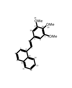 COc1cc(C=Cc2cccc3ccccc23)cc(OC)c1OC